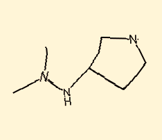 CN(C)NC1CC[N]C1